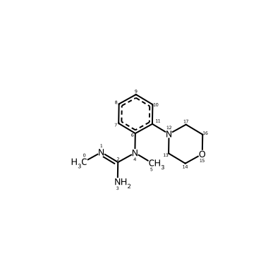 CN=C(N)N(C)c1ccccc1N1CCOCC1